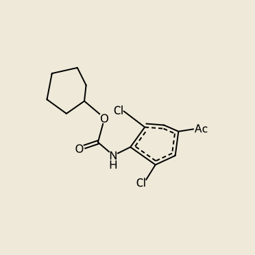 CC(=O)c1cc(Cl)c(NC(=O)OC2CCCCC2)c(Cl)c1